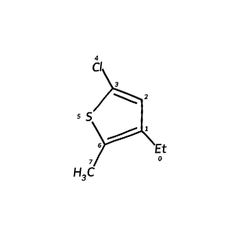 CCc1cc(Cl)sc1C